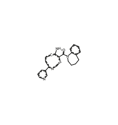 Nc1cccc(-c2cccnc2)ncsc1C(=O)N1CCCCc2ccccc21